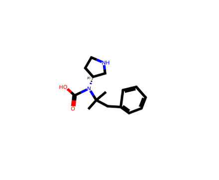 CC(C)(Cc1ccccc1)N(C(=O)O)[C@@H]1CCNC1